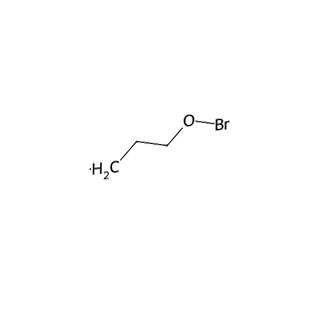 [CH2]CCOBr